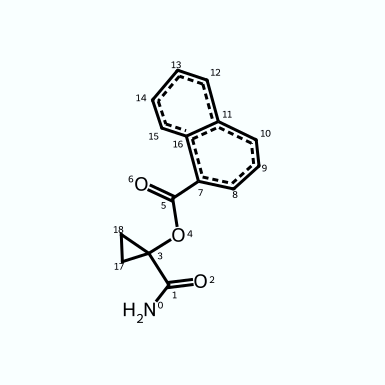 NC(=O)C1(OC(=O)c2cccc3ccccc23)CC1